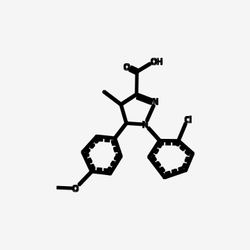 COc1ccc(C2C(C)C(C(=O)O)=NN2c2ccccc2Cl)cc1